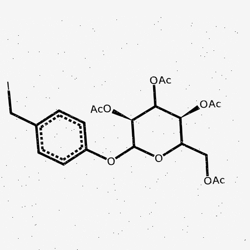 CC(=O)OCC1OC(Oc2ccc(CI)cc2)[C@@H](OC(C)=O)C(OC(C)=O)[C@H]1OC(C)=O